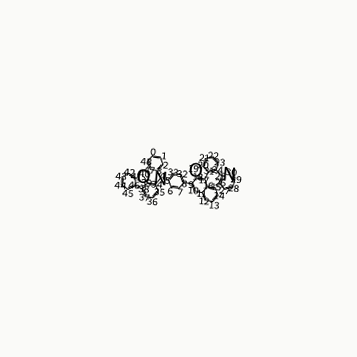 c1ccc(N(c2ccc(-c3cc4ccccc4c4c3oc3cccc(-c5ccccn5)c34)cc2)c2cccc3c2oc2ccccc23)cc1